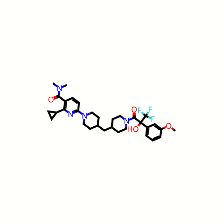 COc1cccc(C(O)(C(=O)N2CCC(CC3CCN(c4ccc(C(=O)N(C)C)c(C5CC5)n4)CC3)CC2)C(F)(F)F)c1